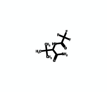 CC(C)(C)C(NC(=O)C(F)(F)F)C(N)=O